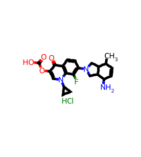 CC1C=CC(N)C2CN(c3ccc4c(=O)c(OC(=O)O)cn(C5CC5)c4c3F)CC12.Cl